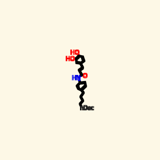 CCCCCCCCCCCCCCc1ccc(NC(=O)/C=C/c2ccc(O)c(O)c2)cc1